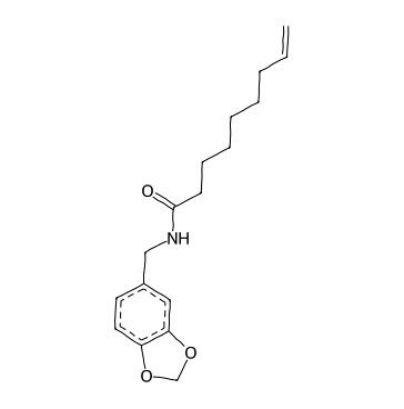 C=CCCCCCCC(=O)NCc1ccc2c(c1)OCO2